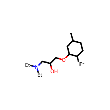 CCN(CC)CC(O)COC1CC(C)CCC1C(C)C